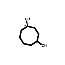 OC1CCCC[C@@H](O)CC1